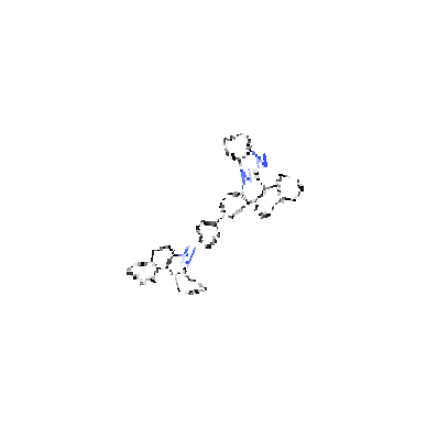 c1ccc2c(c1)ccc1c2c2ccccc2n1-c1ccc(-c2ccc3c(c2)c2ccc4ccccc4c2c2nc4ccccc4n32)cc1